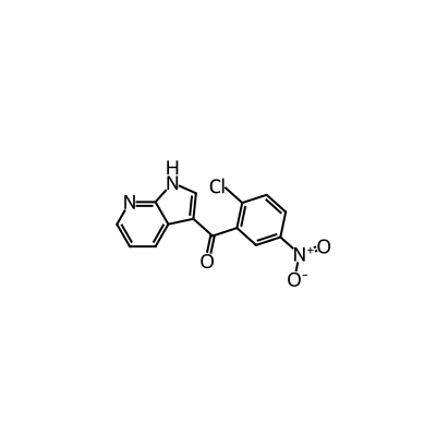 O=C(c1cc([N+](=O)[O-])ccc1Cl)c1c[nH]c2ncccc12